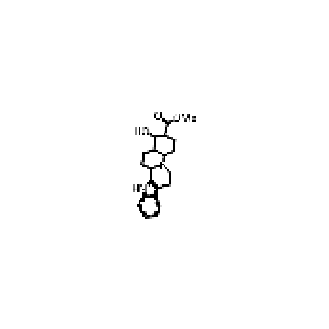 COC(=O)C1CCC2C(CCC3c4[nH]c5ccccc5c4CCN32)C1O